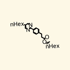 CCCCCCc1cnc(-c2ccc(CCC(=O)O[C@H](C)CCCCCC)cc2)nc1